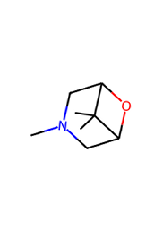 CN1CC2OC(C1)C2(C)C